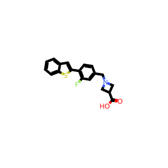 O=C(O)C1CN(Cc2ccc(-c3cc4ccccc4s3)c(F)c2)C1